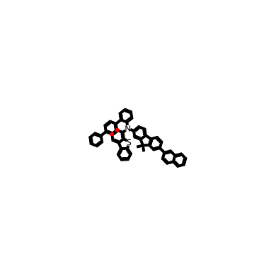 CC1(C)c2cc(-c3ccc4ccccc4c3)ccc2-c2ccc(N(c3ccccc3-c3ccc(-c4ccccc4)cc3)c3cccc4c3sc3ccccc34)cc21